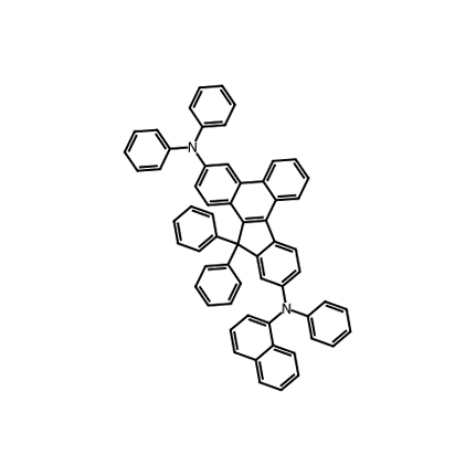 c1ccc(N(c2ccccc2)c2ccc3c4c(c5ccccc5c3c2)-c2ccc(N(c3ccccc3)c3cccc5ccccc35)cc2C4(c2ccccc2)c2ccccc2)cc1